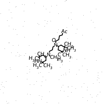 CC(=O)CCCC(=O)N(CCCN(C)C1CC(C)(C)NC(C)(C)C1)C1CC(C)(C)NC(C)(C)C1